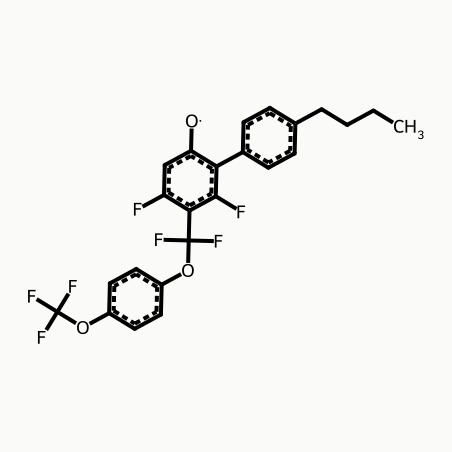 CCCCc1ccc(-c2c([O])cc(F)c(C(F)(F)Oc3ccc(OC(F)(F)F)cc3)c2F)cc1